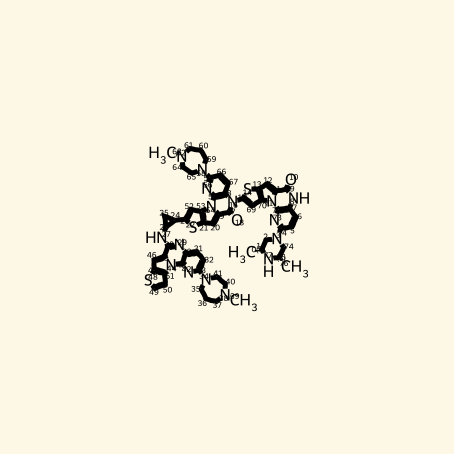 C[C@@H]1CN(c2ccc3[nH]c(=O)c4cc5sc(-n6c(=O)c7cc8sc(C9CC9Nc9nc%10ccc(N%11CCCN(C)CC%11)nc%10n%10c9cc9sccc9%10)cc8n7c7nc(N8CCCN(C)CC8)ccc76)cc5n4c3n2)C[C@H](C)N1